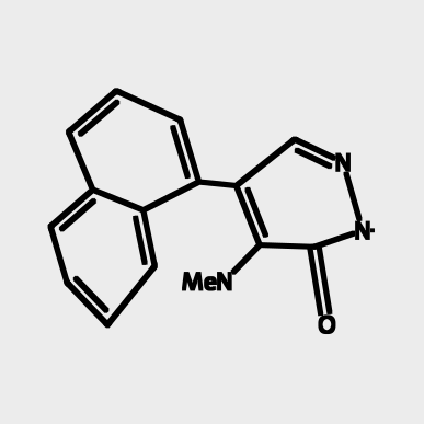 CNC1=C(c2cccc3ccccc23)C=N[N]C1=O